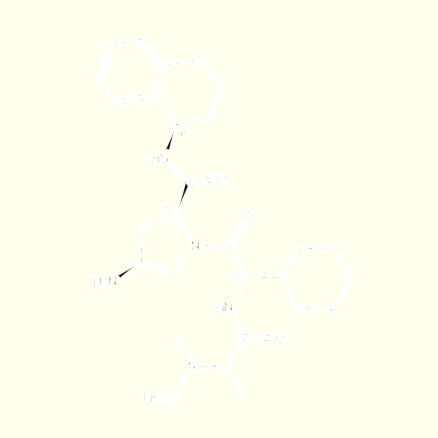 CC(C(=O)N[C@H](C(=O)N1C[C@@H](N)C[C@H]1C(=O)N[C@@H]1CCCc2ccccc21)C1CCCCC1)N(C)C(=O)O